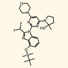 CC1(O)CCCN1c1cc(N2CCOCC2)nc(-n2c(C(F)F)nc3c(O[Si](C)(C)C(C)(C)C)cccc32)n1